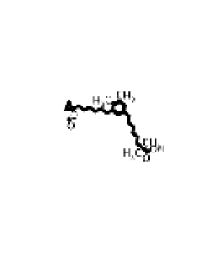 Cc1cc(CCCCCCC(C)(C)C(=O)O)cc(CCCCCCC2(OC=O)CC2)c1C